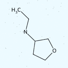 CC[N]C1CCOC1